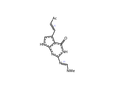 CN/C=N/c1nc2[nH]cc(/C=C/C(C)=O)c2c(=O)[nH]1